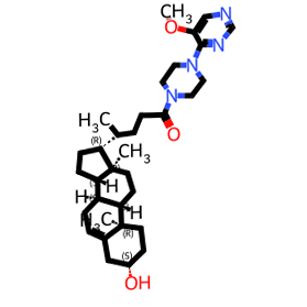 COc1cncnc1N1CCN(C(=O)CCC(C)[C@H]2CC[C@H]3[C@@H]4CC=C5C[C@@H](O)CC[C@]5(C)[C@H]4CC[C@]23C)CC1